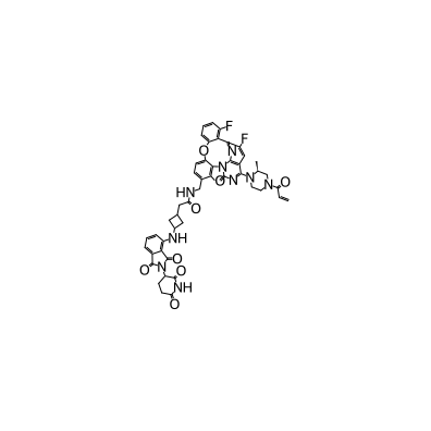 C=CC(=O)N1CCN(c2nc(=O)n3c4nc(c(F)cc24)c2c(F)cccc2oc2ccc(CNC(=O)CC4CC(Nc5cccc6c5C(=O)N(C5CCC(=O)NC5=O)C6=O)C4)c(C)c23)[C@@H](C)C1